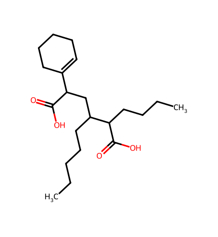 CCCCCC(CC(C(=O)O)C1=CCCCC1)C(CCCC)C(=O)O